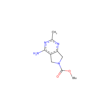 Cc1nc(N)c2c(n1)CN(C(=O)OC(C)(C)C)C2